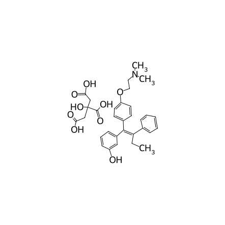 CC/C(=C(/c1ccc(OCCN(C)C)cc1)c1cccc(O)c1)c1ccccc1.O=C(O)CC(O)(CC(=O)O)C(=O)O